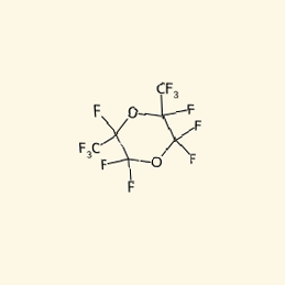 FC(F)(F)C1(F)OC(F)(C(F)(F)F)C(F)(F)OC1(F)F